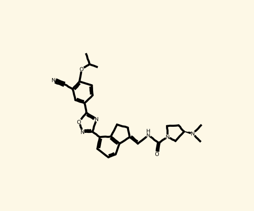 CC(C)Oc1ccc(-c2nc(-c3cccc4c3CC/C4=C\NC(=O)N3CC[C@@H](N(C)C)C3)no2)cc1C#N